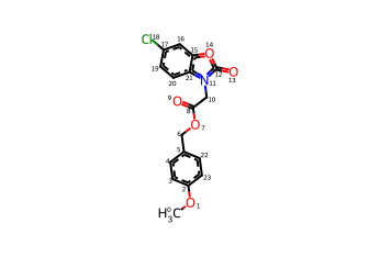 COc1ccc(COC(=O)Cn2c(=O)oc3cc(Cl)ccc32)cc1